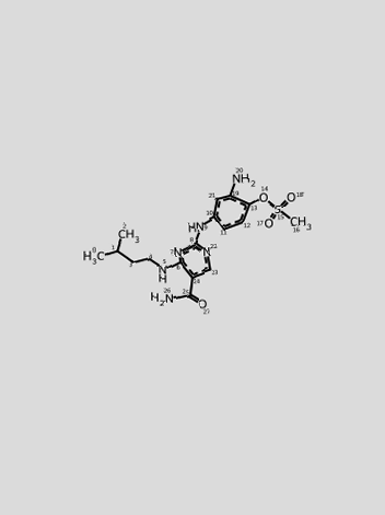 CC(C)CCNc1nc(Nc2ccc(OS(C)(=O)=O)c(N)c2)ncc1C(N)=O